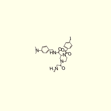 CN(C)c1ccc(CNC(=O)C2CN(C(=O)CN)CCN2S(=O)(=O)c2ccc(I)cc2)cc1